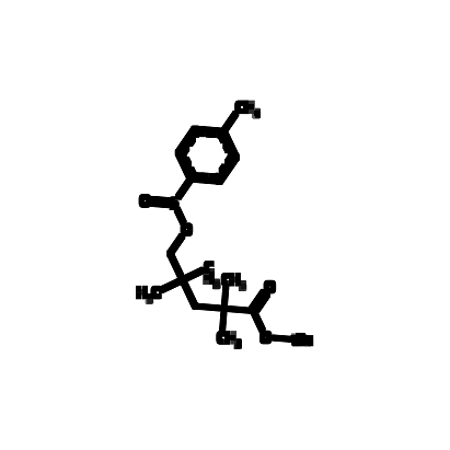 Cc1ccc(S(=O)OCC(C)(C)CC(C)(C)C(=O)OC(C)(C)C)cc1